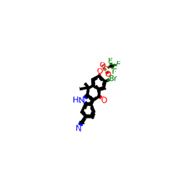 CC1(C)c2cc(OS(=O)(=O)C(F)(F)F)c(Br)cc2C(=O)c2c1[nH]c1cc(C#N)ccc21